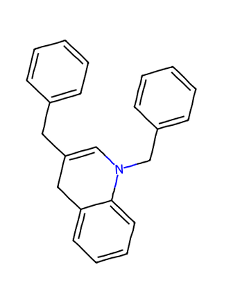 C1=C(Cc2ccccc2)Cc2ccccc2N1Cc1ccccc1